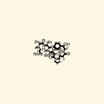 CC[C@H](C)[C@@H]([C@@H](CC(=O)N1CCC[C@H]1[C@H](OC)[C@@H](C)C(=O)N[C@H](C)[C@@H](O)c1ccccc1)OC)N(C)C(=O)[C@@H](NC(=O)[C@H](C(C)C)N(C)CCNC)C(C)C